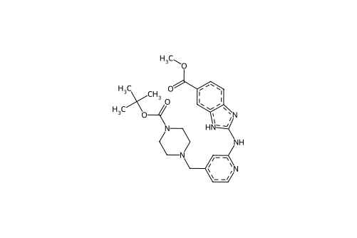 COC(=O)c1ccc2nc(Nc3cc(CN4CCN(C(=O)OC(C)(C)C)CC4)ccn3)[nH]c2c1